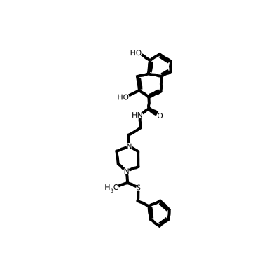 CC(SCc1ccccc1)N1CCN(CCNC(=O)c2cc3cccc(O)c3cc2O)CC1